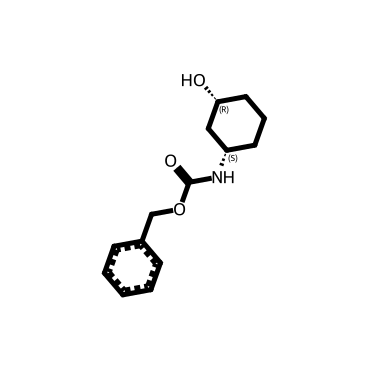 O=C(N[C@H]1CCC[C@@H](O)C1)OCc1ccccc1